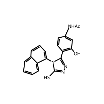 CC(=O)Nc1ccc(-c2nnc(S)n2-c2cccc3ccccc23)c(O)c1